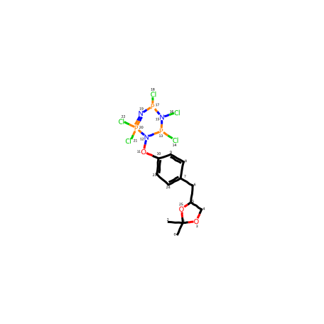 CC1(C)OCC(Cc2ccc(ON3P(Cl)N(Cl)P(Cl)N=P3(Cl)Cl)cc2)O1